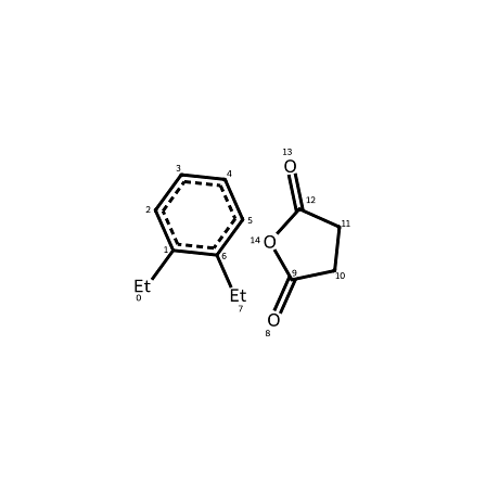 CCc1ccccc1CC.O=C1CCC(=O)O1